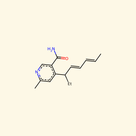 C/C=C/C=C/C(CC)c1cc(C)ncc1C(N)=O